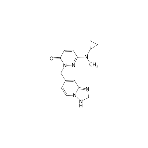 CN(c1ccc(=O)n(CC2=CC3=NCNN3C=C2)n1)C1CC1